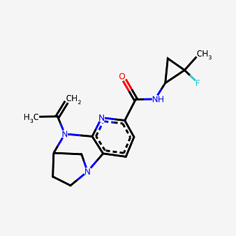 C=C(C)N1c2nc(C(=O)NC3CC3(C)F)ccc2N2CCC1C2